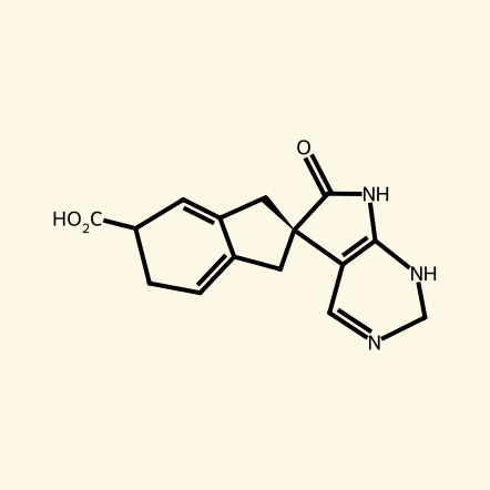 O=C(O)C1C=C2C[C@@]3(CC2=CC1)C(=O)NC1=C3C=NCN1